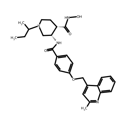 CCC(C)N1CC[C@H](C(=O)NO)[C@H](NC(=O)c2ccc(OCc3cc(C)nc4ccccc34)cc2)C1